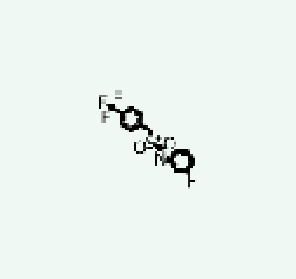 [O-][S+](Cc1ccc(C(F)(F)F)cc1)c1nc2cc(F)ccc2o1